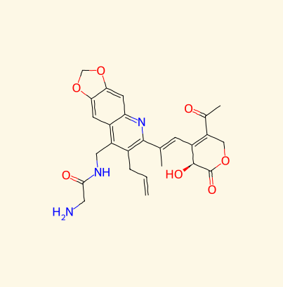 C=CCc1c(/C(C)=C/C2=C(C(C)=O)COC(=O)[C@H]2O)nc2cc3c(cc2c1CNC(=O)CN)OCO3